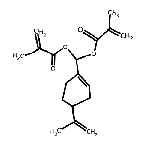 C=C(C)C(=O)OC(OC(=O)C(=C)C)C1=CCC(C(=C)C)CC1